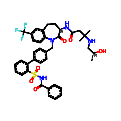 C[C@@H](O)CNC(C)(C)CC(=O)N[C@@H]1CCc2cc(C(F)(F)F)ccc2N(Cc2ccc(-c3ccccc3S(=O)(=O)NC(=O)c3ccccc3)cc2)C1=O